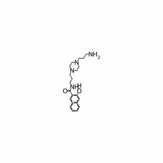 NCCCN1CCN(CCCNC(=O)c2cc3ccccc3cc2O)CC1